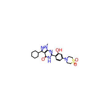 Cn1nc(C2CCCCC2)c2c(=O)[nH]c(-c3ccc(N4CCS(=O)(=O)CC4)cc3O)nc21